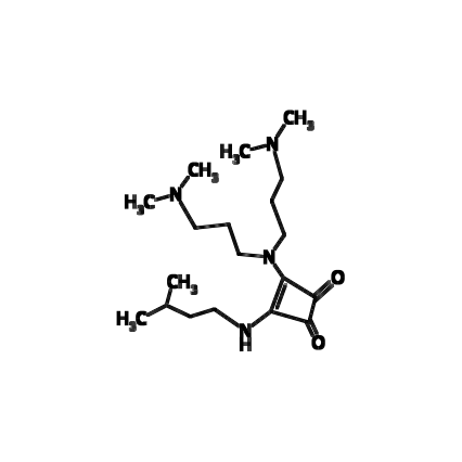 CC(C)CCNc1c(N(CCCN(C)C)CCCN(C)C)c(=O)c1=O